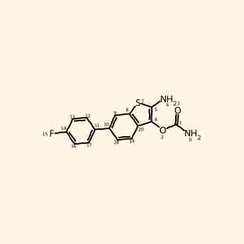 NC(=O)Oc1c(N)sc2cc(-c3ccc(F)cc3)ccc12